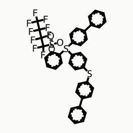 O=S(=O)(OS(c1ccccc1)(c1ccc(Sc2ccc(-c3ccccc3)cc2)cc1)c1ccc(-c2ccccc2)cc1)C(F)(F)C(F)(F)C(F)(F)C(F)(F)F